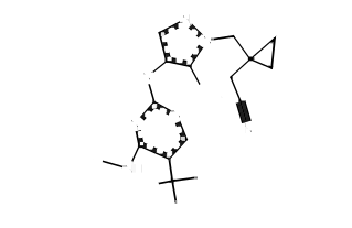 CNc1nc(Nc2cnn(CC3(CC#N)CC3)c2C)ncc1C(F)(F)F